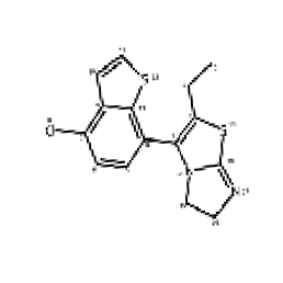 CCC1=C(c2ccc(Cl)c3ccsc23)N2CCN=C2S1